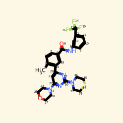 Cc1ccc(C(=O)Nc2cccc(C(F)(F)F)c2)cc1-c1cc(N2CCOCC2)nc(N2CCSCC2)n1